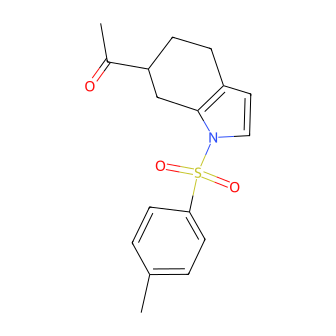 CC(=O)C1CCc2ccn(S(=O)(=O)c3ccc(C)cc3)c2C1